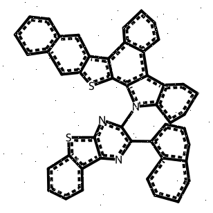 c1ccc2cc3c(cc2c1)sc1c3c2ccccc2c2c3ccccc3n(-c3nc4sc5ccccc5c4nc3-c3cccc4ccccc34)c12